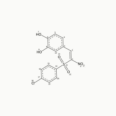 O=[N+]([O-])C(=Cc1ccc(O)c(O)c1)S(=O)(=O)c1ccc(Cl)cc1